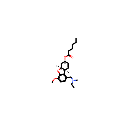 CCCCCC(=O)O[C@H]1C=C[C@@]2(C)c3c(CN(C)CC)ccc(OC)c3O[C@H]2C1